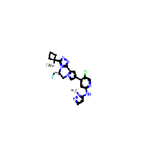 COC1(c2nnc3n2[C@@H](CF)Cn2cc(-c4cc(Nc5ccnn5C)ncc4Cl)cc2-3)CCC1